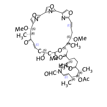 CO[C@H]1C/C=C/c2nc(co2)-c2nc(co2)-c2nc(co2)[C@@H](OC)[C@@H](C)C(=O)/C=C/C[C@H](O)CC(=O)O[C@@H](C[C@H](OC)[C@@H](C)CCC(=O)[C@H](C)[C@H](OC(C)=O)[C@H](C)/C=C/N(C)C=O)[C@@H]1C